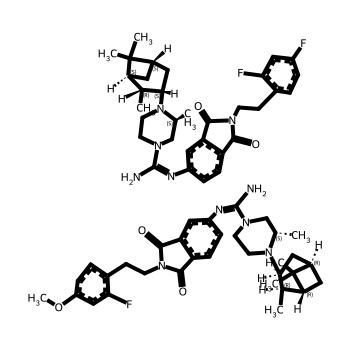 COc1ccc(CCN2C(=O)c3ccc(N=C(N)N4CCN([C@H]5C[C@H]6C[C@H]([C@H]5C)C6(C)C)[C@@H](C)C4)cc3C2=O)c(F)c1.C[C@H]1[C@@H](N2CCN(C(N)=Nc3ccc4c(c3)C(=O)N(CCc3ccc(F)cc3F)C4=O)C[C@@H]2C)C[C@@H]2C[C@@H]1C2(C)C